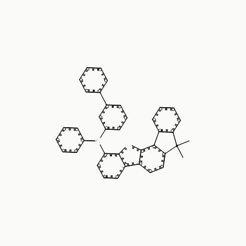 CC1(C)c2ccccc2-c2c1ccc1c2oc2c(N(c3ccccc3)c3cccc(-c4ccccc4)c3)cccc21